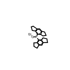 CCOP(c1c2c(cc3c1CCC3)CCC2)c1c2c(cc3c1CCC3)CCC2